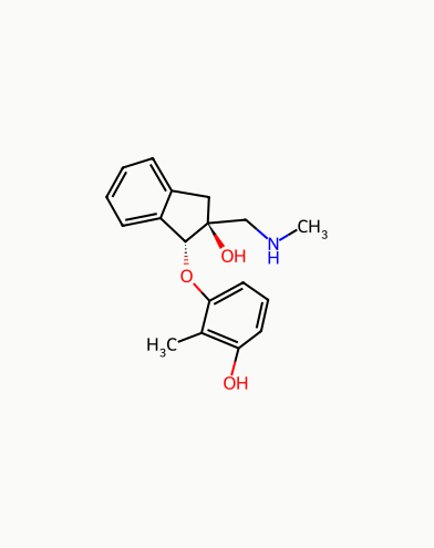 CNC[C@@]1(O)Cc2ccccc2[C@H]1Oc1cccc(O)c1C